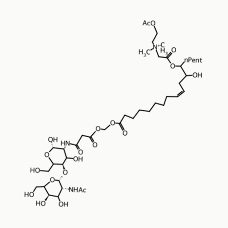 CCCCCC(OC(=O)C[N+](C)(C)CCOC(C)=O)C(O)C/C=C\CCCCCCCC(=O)OCOC(=O)CC(=O)N[C@@H]1C(O)[C@@H](O[C@H]2OC(CO)[C@H](O)C(O)[C@H]2NC(C)=O)C(CO)O[C@@H]1O